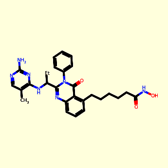 CCC(Nc1nc(N)ncc1C)c1nc2cccc(CCCCCC(=O)NO)c2c(=O)n1-c1ccccc1